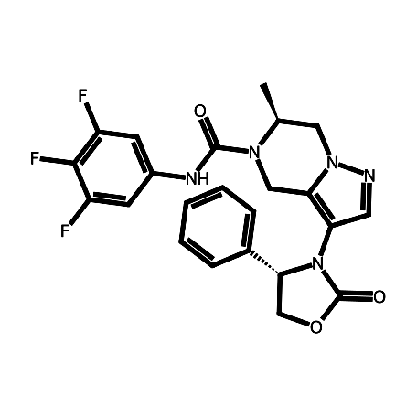 C[C@H]1Cn2ncc(N3C(=O)OC[C@@H]3c3ccccc3)c2CN1C(=O)Nc1cc(F)c(F)c(F)c1